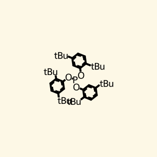 CC(C)(C)c1ccc(C(C)(C)C)c(OP(Oc2cc(C(C)(C)C)ccc2C(C)(C)C)Oc2cc(C(C)(C)C)ccc2C(C)(C)C)c1